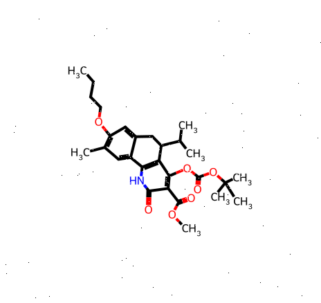 CCCCOc1cc2c(cc1C)-c1[nH]c(=O)c(C(=O)OC)c(OC(=O)OC(C)(C)C)c1C(C(C)C)C2